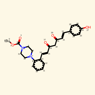 CC(C)(C)OC(=O)N1CCN(c2ccccc2C=CC(=O)CC(=O)C=Cc2ccc(O)cc2)CC1